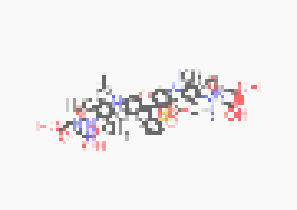 Cc1c(C)c(NC(=O)N(CC(=O)O)CC(=O)O)c(C)c(C)c1/N=c1\ccc2c(-c3ccccc3S(=O)(=O)O)c3ccc(Nc4c(C)c(C)c(NC(=O)N(CC(=O)O)CC(=O)O)c(C)c4C)cc3oc-2c1